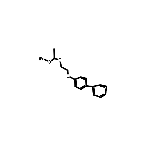 CC(C)OC(C)OCCOc1ccc(-c2ccccc2)cc1